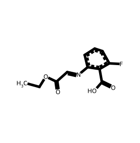 CCOC(=O)C=Nc1cccc(F)c1C(=O)O